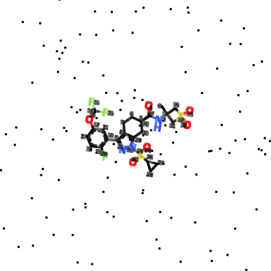 CC1(NC(=O)[C@@H]2CCc3c(-c4cc(OC(F)F)ccc4F)nn(S(=O)(=O)C4CC4)c3C2)CS(=O)(=O)C1